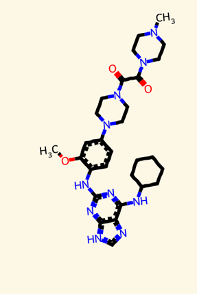 COc1cc(N2CCN(C(=O)C(=O)N3CCN(C)CC3)CC2)ccc1Nc1nc(NC2CCCCC2)c2nc[nH]c2n1